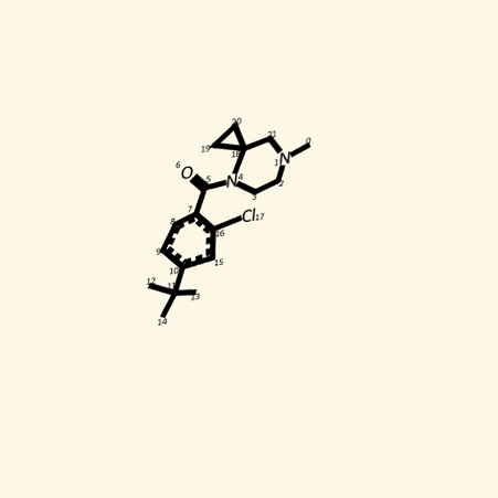 CN1CCN(C(=O)c2ccc(C(C)(C)C)cc2Cl)C2(CC2)C1